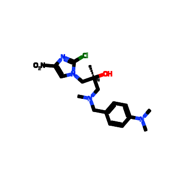 CN(Cc1ccc(N(C)C)cc1)C[C@](C)(O)Cn1cc([N+](=O)[O-])nc1Cl